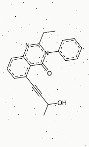 CCc1nc2cccc(C#CC(C)O)c2c(=O)n1-c1ccccc1